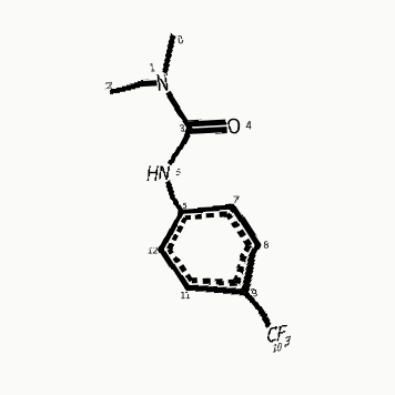 CN(C)C(=O)Nc1ccc(C(F)(F)F)cc1